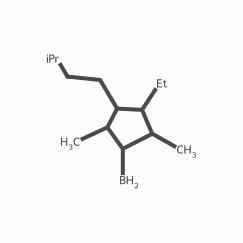 BC1C(C)C(CC)C(CCC(C)C)C1C